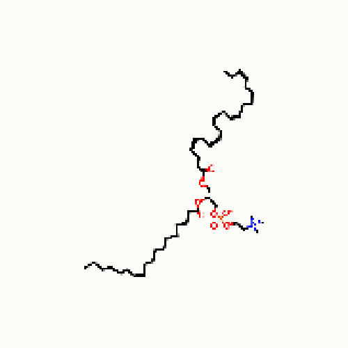 CC/C=C\C/C=C\C/C=C\C/C=C\C/C=C\C/C=C\CCC(=O)OC[C@H](COP(=O)([O-])OCC[N+](C)(C)C)OC(=O)CCCCCCCCC/C=C\CCCCCC